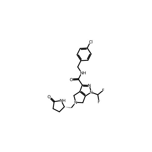 O=C1CC[C@@H](CN2Cc3c(C(=O)NCc4ccc(Cl)cc4)nn(C(F)F)c3C2)N1